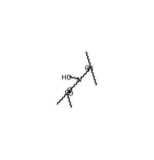 CCCCCCCCCCN(CCCCCCCCCC)C(=O)CCCCCCCN(CCCCCO)CCCCCCCOC(=O)OC(CCCCCCCC)CCCCCCCC